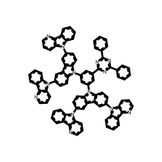 c1ccc(-c2nc(-c3ccccc3)nc(-c3cc(-n4c5ccc(-n6c7ccccc7c7ncccc76)cc5c5cc(-n6c7ccccc7c7ncccc76)ccc54)cc(-n4c5ccc(-n6c7ccccc7c7ncccc76)cc5c5cc(-n6c7ccccc7c7ncccc76)ccc54)c3)n2)cc1